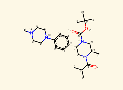 CC(C)C(=O)N1C[C@H](c2ccc(N3CCN(C)CC3)cc2)N(C(=O)OC(C)(C)C)C[C@H]1C